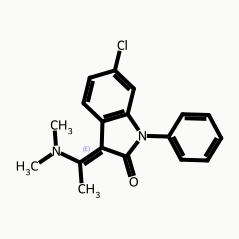 C/C(=C1\C(=O)N(c2ccccc2)c2cc(Cl)ccc21)N(C)C